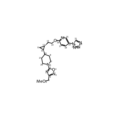 COCc1noc(N2CCC([C@H]3C[C@H]3CCOc3ccc(-n4cnnn4)cn3)CC2)n1